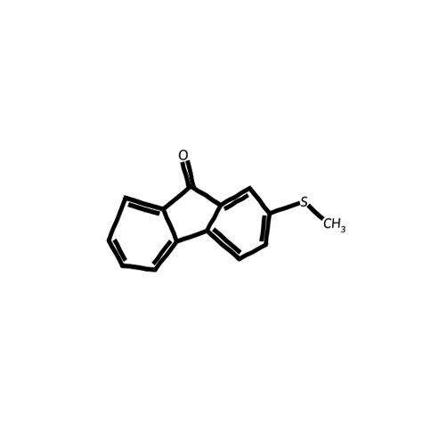 CSc1ccc2c(c1)C(=O)c1ccccc1-2